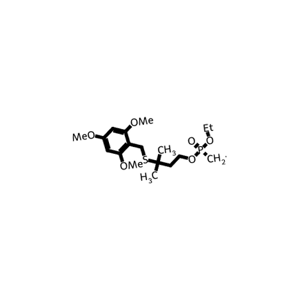 [CH2]P(=O)(OCC)OCCC(C)(C)SCc1c(OC)cc(OC)cc1OC